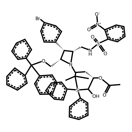 CC(=O)O[C@@H](CCN1[C@H](COC(c2ccccc2)(c2ccccc2)c2ccccc2)[C@H](c2ccc(Br)cc2)[C@@H]1CNS(=O)(=O)c1ccccc1[N+](=O)[O-])C(O)[Si](c1ccccc1)(c1ccccc1)C(C)(C)C